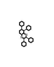 c1ccc(-c2ccc3nc(-c4ccccc4)c(-c4ccccc4)nc3c2-c2ccccc2)cc1